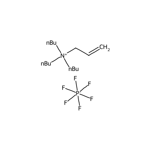 C=CC[N+](CCCC)(CCCC)CCCC.F[P-](F)(F)(F)(F)F